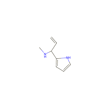 C=CC(NC)c1ccc[nH]1